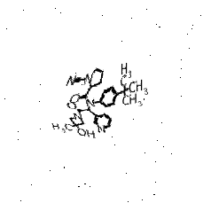 CC1(O)CN(C(=O)C(c2cccnc2)N(C(=O)C2CCCN2C#N)c2ccc(C(C)(C)C)cc2)C1